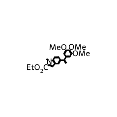 C=C(c1cc(OC)c(OC)c(OC)c1)c1ccc2c(c1)cc(C(=O)OCC)n2C